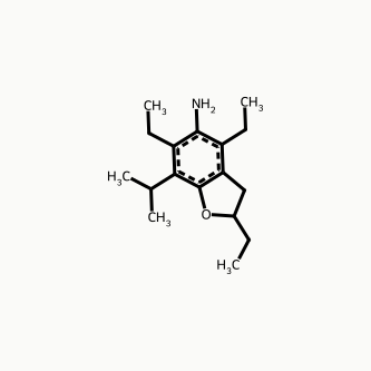 CCc1c(N)c(CC)c(C(C)C)c2c1CC(CC)O2